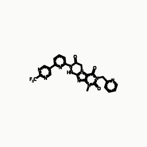 Cn1c(=O)n(Cc2ccccn2)c(=O)c2c1nc1n2CC(=O)N(c2cccc(-c3cnc(C(F)(F)F)nc3)n2)N1